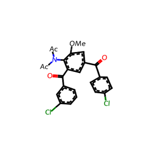 COc1cc(C(=O)c2ccc(Cl)cc2)cc(C(=O)c2cccc(Cl)c2)c1N(C(C)=O)C(C)=O